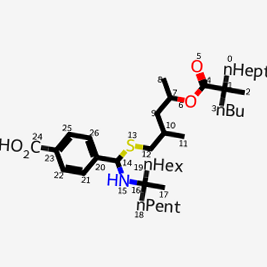 CCCCCCCC(C)(CCCC)C(=O)OC(C)CC(C)CSC(NC(C)(CCCCC)CCCCCC)c1ccc(C(=O)O)cc1